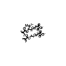 C=C(C)C(=O)OCCOCCS(=O)(=O)[O-].C=C(C)C(=O)OCCOCCS(=O)(=O)[O-].[Mg+2]